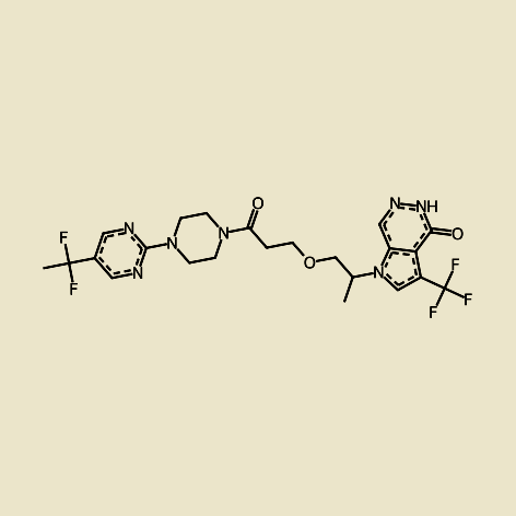 CC(COCCC(=O)N1CCN(c2ncc(C(C)(F)F)cn2)CC1)n1cc(C(F)(F)F)c2c(=O)[nH]ncc21